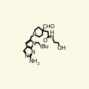 CC(C)(C)Cn1c(CN2CCC(C=O)(CC(=O)NCCO)CC2)cc2cnc(N)nc21